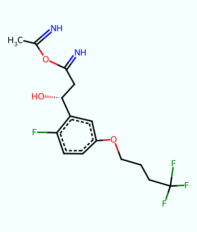 CC(=N)OC(=N)C[C@@H](O)c1cc(OCCCC(F)(F)F)ccc1F